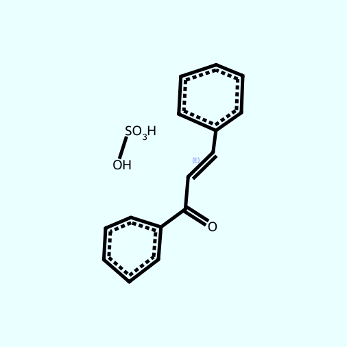 O=C(/C=C/c1ccccc1)c1ccccc1.O=S(=O)(O)O